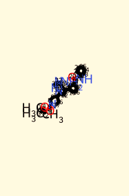 CC(C)(C)OC(=O)N1CCC(c2cc(-c3cccc(C(=O)Nc4ccccc4)c3)c3c(N)ncnn23)CC1